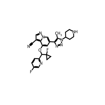 Cc1c(-c2cc(OC(c3ccc(F)cn3)C3(F)CC3)c3c(C#N)cnn3c2)nnn1C1CCNCC1